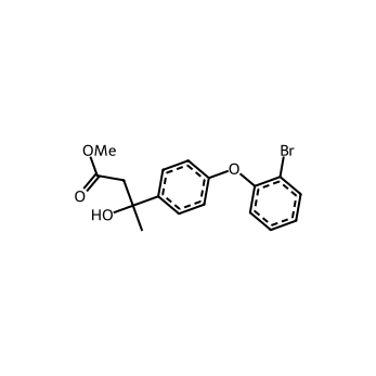 COC(=O)CC(C)(O)c1ccc(Oc2ccccc2Br)cc1